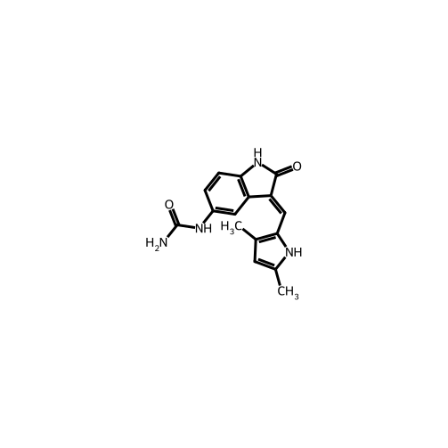 Cc1cc(C)c(C=C2C(=O)Nc3ccc(NC(N)=O)cc32)[nH]1